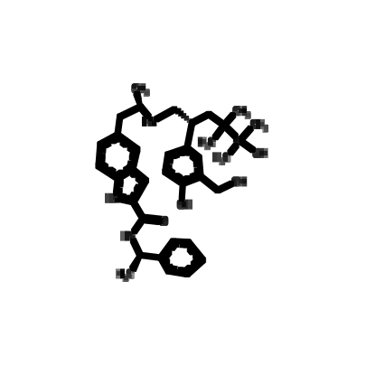 C[C@H](Cc1ccc2[nH]c(C(=O)N[C@H](C)c3ccccc3)cc2c1)NC[C@H](CC(C)(C)[Si](C)(C)O)c1ccc(O)c(CO)c1